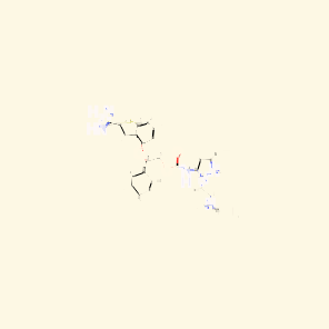 Cc1cc(NC(=O)OCC(Oc2cccc3sc(C(=N)N)cc23)c2ccccc2)n(CCN(C)C)n1